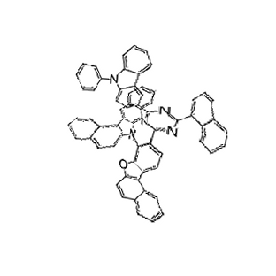 c1ccc(-n2c3ccccc3c3cc(-c4nc(-c5ccc6c(oc7ccc8ccccc8c76)c5-n5c6cc7ccccc7cc6c6c7ccccc7ccc65)nc(-c5cccc6ccccc56)n4)ccc32)cc1